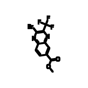 COC(=O)c1ccc2nc(Br)c(C(F)(F)F)nc2c1